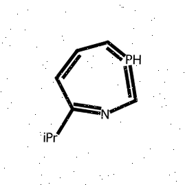 CC(C)C1=NC=[PH]=CC=C1